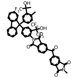 Cc1ccc(C2(c3ccc(N4C(=O)c5ccc(C(=O)c6ccc7c(c6)C(=O)N(C)C7=O)cc5C4=O)c(C(O)(C(F)(F)F)C(F)(F)F)c3)c3ccccc3-c3ccccc32)cc1C(C)(O)C(F)(F)F